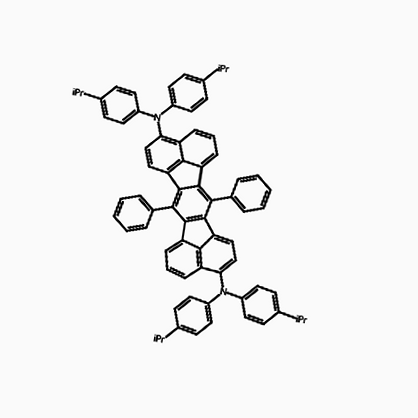 CC(C)c1ccc(N(c2ccc(C(C)C)cc2)c2ccc3c4c(-c5ccccc5)c5c6cccc7c(N(c8ccc(C(C)C)cc8)c8ccc(C(C)C)cc8)ccc(c5c(-c5ccccc5)c4c4cccc2c43)c76)cc1